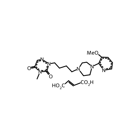 COc1cccnc1N1CCN(CCCCn2ncc(=O)n(C)c2=O)CC1.O=C(O)C=CC(=O)O